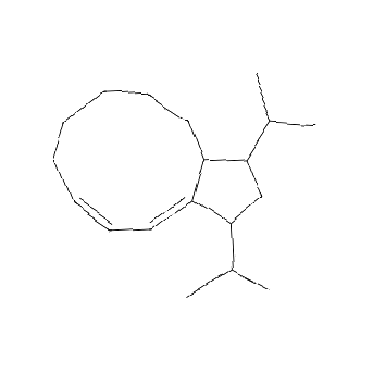 CC(C)C1CC(C(C)C)C2CCCCCC=CC=C12